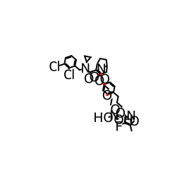 Cc1onc(OCCCc2ccc(OC3=C(C(=O)N(Cc4cccc(Cl)c4Cl)C4CC4)C4CCC(C3)N4C(=O)OCCOCCON(O)O)cc2)c1F